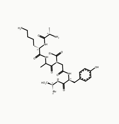 CCC(=O)N(CC(=O)N[C@@H](Cc1ccc(O)cc1)C(=O)N[C@H](C(=O)O)[C@@H](C)CC)C(=O)C(C)NC(=O)[C@H](CCCCN)NC(=O)[C@H](C)N